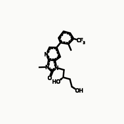 Cc1c(-c2cnc3c(c2)n(C[C@H](O)CCO)c(=O)n3C)cccc1C(F)(F)F